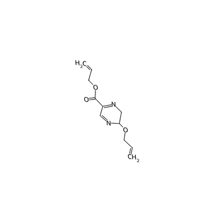 C=CCOC(=O)C1=NCC(OCC=C)N=C1